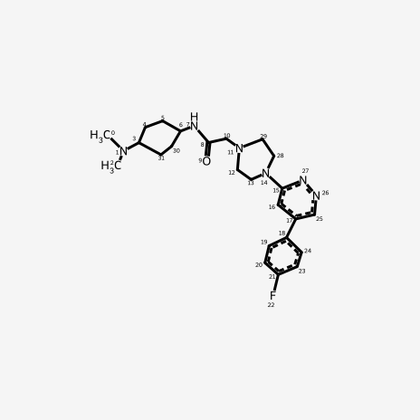 CN(C)C1CCC(NC(=O)CN2CCN(c3cc(-c4ccc(F)cc4)cnn3)CC2)CC1